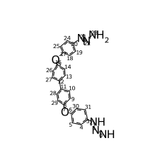 N=NNc1ccc(Oc2ccc(-c3ccc(Oc4ccc(N=NN)cc4)cc3)cc2)cc1